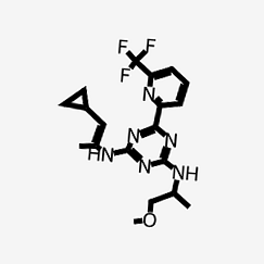 COCC(C)Nc1nc(NC(C)=CC2CC2)nc(-c2cccc(C(F)(F)F)n2)n1